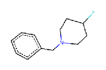 FC1CCN(Cc2ccccc2)CC1